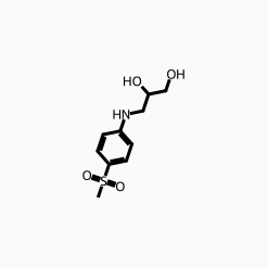 CS(=O)(=O)c1ccc(NCC(O)CO)cc1